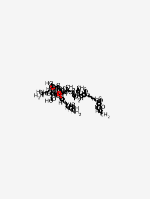 C=C1C[C@H]2C=Nc3cc(OCCCCCOc4cc(N)c(C(=O)N5CC(=C)C[C@H]5C5OCCN5C(=O)OC[C@@H](SSC[C@H](NC(=O)[C@H](CC(=O)O)NC(=O)[C@H](CC(=O)O)NC(=O)[C@H](CCCNC(=N)N)NC(=O)[C@H](CC(=O)O)NC(=O)CC[C@H](NC(=O)c5ccc(NCc6cnc7nc(N)[nH]c(=O)c7n6)cc5)C(=O)O)C(=O)O)C(C)C)cc4OC)c(OC)cc3C(=O)N2C1